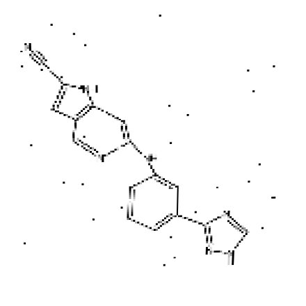 N#Cc1cc2cnc(Nc3cccc(-c4nc[nH]n4)c3)cc2[nH]1